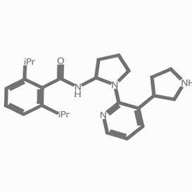 CC(C)c1cccc(C(C)C)c1C(=O)NC1CCCN1c1ncccc1C1CCNC1